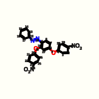 O=[N+]([O-])c1ccc(Oc2ccc(/N=N/c3ccccc3)c(Oc3ccc([N+](=O)[O-])cc3)c2)cc1